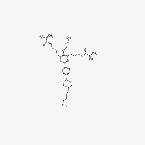 C=C(C)C(=O)OCCCc1cc(-c2ccc(C3CCC(CCCCC)CC3)cc2)cc(CCCOC(=O)C(=C)C)c1OCCCO